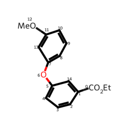 CCOC(=O)c1cccc(Oc2cccc(OC)c2)c1